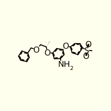 C[C@@H](COCc1ccccc1)Oc1cc(N)cc(Oc2ccc(S(C)(=O)=O)cc2)c1